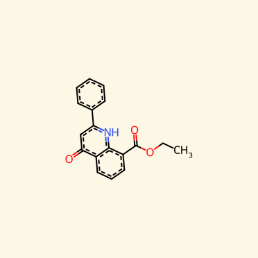 CCOC(=O)c1cccc2c(=O)cc(-c3ccccc3)[nH]c12